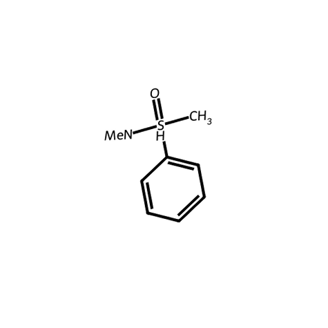 CN[SH](C)(=O)c1ccccc1